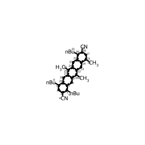 CCCCc1cc(C#N)c(CCCC)c2cc3c(C)c4cc5c(C)cc(C#N)c(CCCC)c5cc4c(C)c3cc12